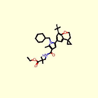 CCOC(=O)C(C)(C)CNC(=O)c1cc(-c2cc(C(C)(C)C)c3c(c2)C2(CCO3)CC2)n(CC2CCCCC2)c1C